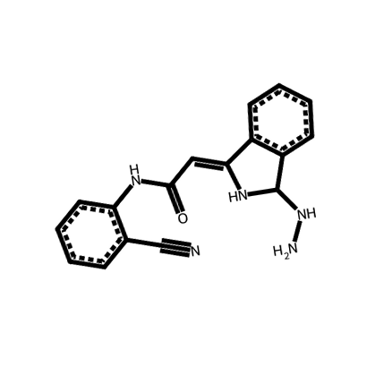 N#Cc1ccccc1NC(=O)C=C1NC(NN)c2ccccc21